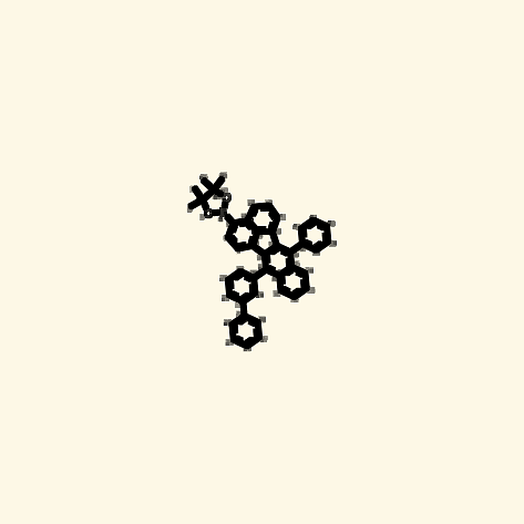 CC1(C)OB(c2ccc3c4c(cccc24)-c2c-3c(-c3cccc(-c4ccccc4)c3)c3ccccc3c2-c2ccccc2)OC1(C)C